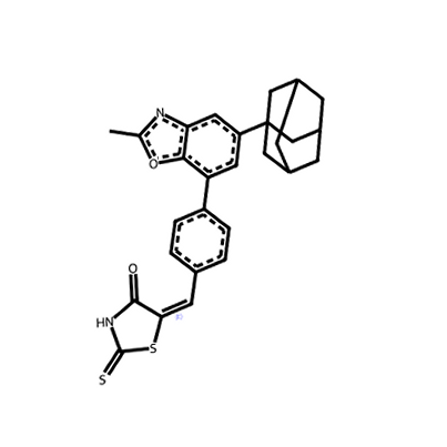 Cc1nc2cc(C34CC5CC(CC(C5)C3)C4)cc(-c3ccc(/C=C4/SC(=S)NC4=O)cc3)c2o1